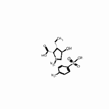 CC[C@H]1[C@@H](C(=O)O)N(C)C[C@@H]1O.Cc1ccc(S(=O)(=O)O)cc1